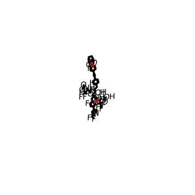 COC(=O)NC(C(=O)NC(Cc1ccc(C#Cc2ccc(N3CC4CCC(C3)N4S(C)(=O)=O)nc2)cc1)C(O)CN(Cc1c(F)cc(-c2cnn(C(F)F)c2)cc1F)NC(=O)C(NC(=O)O)C(C)(C)C(F)(F)F)C(C)(C)C(F)(F)F